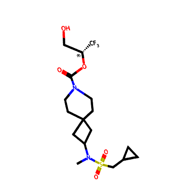 CN(C1CC2(CCN(C(=O)O[C@H](CO)C(F)(F)F)CC2)C1)S(=O)(=O)CC1CC1